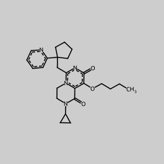 CCCCOc1c2n(c(CC3(c4ccccn4)CCCC3)nc1=O)CCN(C1CC1)C2=O